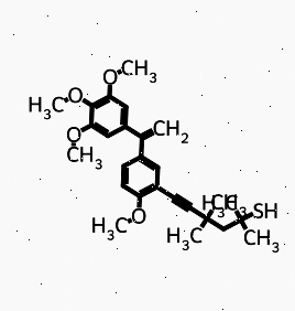 C=C(c1ccc(OC)c(C#CC(C)(C)CC(C)(C)S)c1)c1cc(OC)c(OC)c(OC)c1